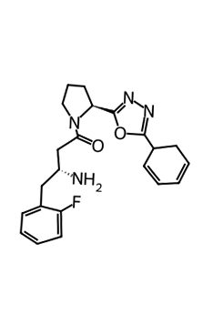 N[C@@H](CC(=O)N1CCC[C@H]1c1nnc(C2C=CC=CC2)o1)Cc1ccccc1F